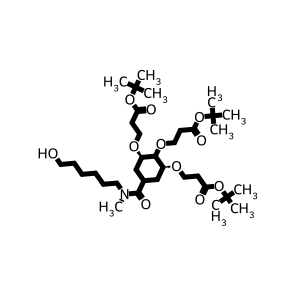 CN(CCCCCCO)C(=O)C1C[C@@H](OCCC(=O)OC(C)(C)C)C(OCCC(=O)OC(C)(C)C)[C@H](OCCC(=O)OC(C)(C)C)C1